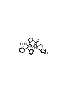 N[C@@H](C(=O)N1CCC[C@H]1C(=O)NC1CCc2n[nH]cc2C1)C(c1ccccc1)c1ccccc1